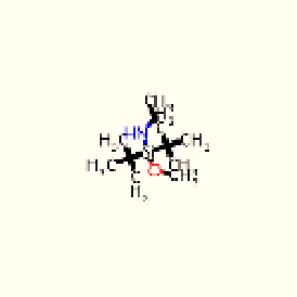 CCN[Si](OC)(C(C)(C)C)C(C)(C)C